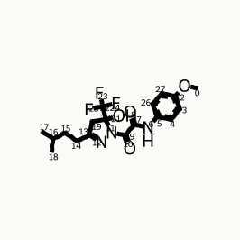 COc1ccc(NC(=O)C(=O)N2N=C(CCC(C)C)CC2(O)C(F)(F)F)cc1